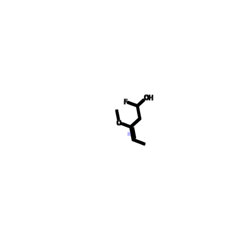 C/C=C(\CC(O)F)OC